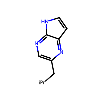 CC(C)Cc1cnc2[nH]ccc2n1